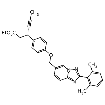 CC#C[C@@H](CC(=O)OCC)c1ccc(OCc2ccc3nc(-c4c(C)cccc4C)nn3c2)cc1